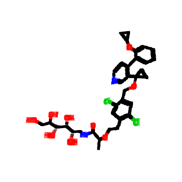 CC(OCCc1cc(Cl)c(COC2(c3cnccc3-c3ccccc3OC3CC3)CC2)cc1Cl)C(=O)NC[C@H](O)[C@@H](O)[C@H](O)[C@H](O)CO